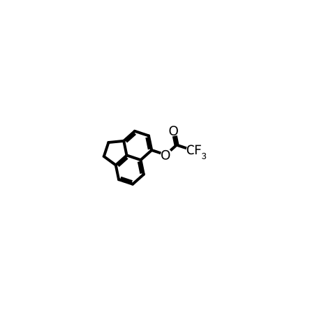 O=C(Oc1ccc2c3c(cccc13)CC2)C(F)(F)F